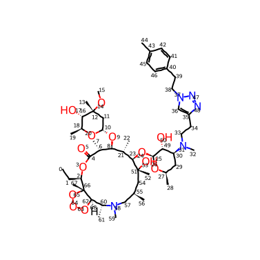 CC[C@H]1OC(=O)[C@H](C)[C@@H](O[C@H]2C[C@@](C)(OC)[C@@H](O)[C@H](C)O2)[C@H](C)[C@@H](O[C@@H]2O[C@H](C)C[C@H](N(C)CCc3cn(CCc4ccc(C)cc4)nn3)[C@H]2O)[C@](C)(O)C[C@@H](C)CN(C)[C@H](C)[C@H]2OOO[C@@]21C